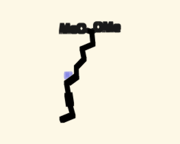 C=CC#C/C=C/CCCCC(OC)OC